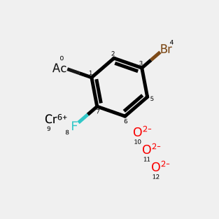 CC(=O)c1cc(Br)ccc1F.[Cr+6].[O-2].[O-2].[O-2]